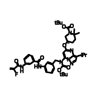 C=C(F)C(=O)Nc1cccc(C(=O)Nc2cccc(CN(C(=O)OC(C)(C)C)c3cc(O[C@@H]4CCC(C)(C)N(C(=O)OC(C)(C)C)C4)nc4c(C(C)C)cnn34)c2)c1